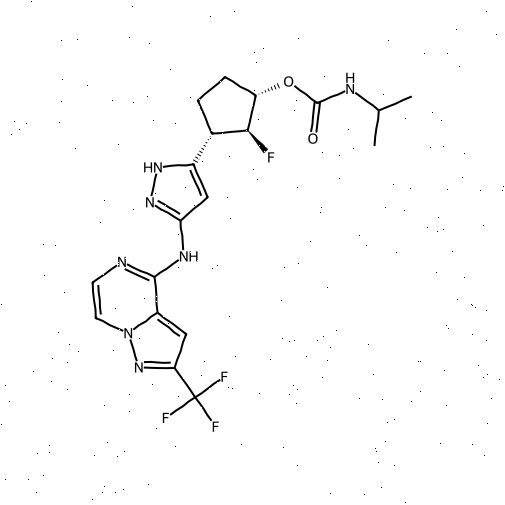 CC(C)NC(=O)O[C@H]1CC[C@@H](c2cc(Nc3nccn4nc(C(F)(F)F)cc34)n[nH]2)[C@@H]1F